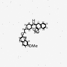 COc1ccc2ncc(OCCN3CCC(NC(Cc4ccccc4)C4=COCO4)CC3)nc2c1